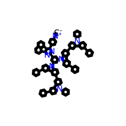 [C-]#[N+]c1ccc(-c2nc(-c3cc(-n4c5ccc(-c6ccccc6)cc5c5cc(-c6ccc7c(c6)c6cc(-c8ccccc8)ccc6n7-c6ccccc6)ccc54)cc(-n4c5ccc(-c6ccccc6)cc5c5cc(-c6ccc7c(c6)c6cc(-c8ccccc8)ccc6n7-c6ccccc6)ccc54)c3)nc3c2-c2cccc4cccc-3c24)cc1